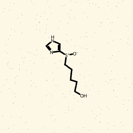 [O-][S+](CCCCCO)c1c[nH]cn1